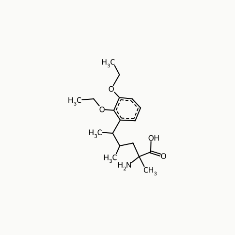 CCOc1cccc(C(C)C(C)CC(C)(N)C(=O)O)c1OCC